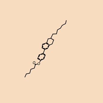 CCCCCCCC1CCc2cc(-c3ccc(OC(=O)CCCCC)cc3)ccc2C1